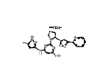 CCCc1cc(Nc2cc(C)[nH]n2)nc(N2CCCC2c2cc(-c3ccccn3)no2)n1.CNC